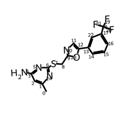 Cc1cc(N)nc(SCc2ncc(-c3cccc(C(F)(F)F)c3)o2)n1